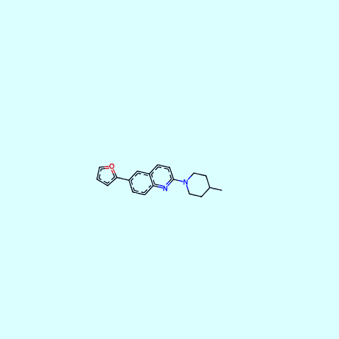 CC1CCN(c2ccc3cc(-c4ccco4)ccc3n2)CC1